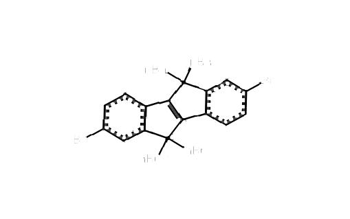 CCCCC1(CCCC)C2=C(c3ccc(Br)cc31)C(CCCC)(CCCC)c1cc(Br)ccc12